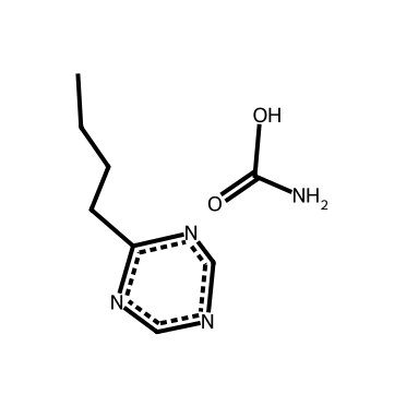 CCCCc1ncncn1.NC(=O)O